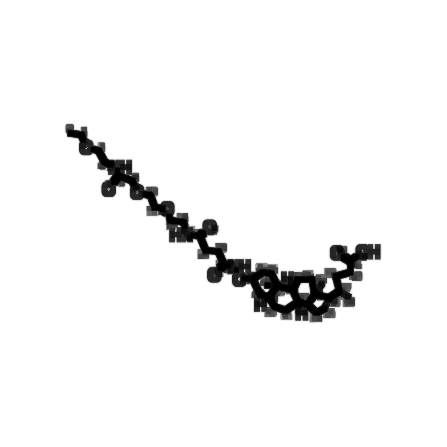 CCOCCNC(=O)COCCOCCNC(=O)CCC(=O)NO[C@H]1CC[C@@]2(C)[C@H](CC[C@H]3C4CC[C@H]([C@H](C)CCC(=O)O)[C@@]4(C)CC[C@@H]32)C1